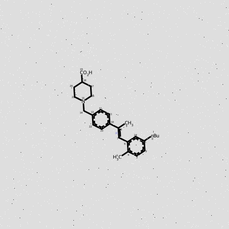 CCCCc1ccc(C)c(/C=C(\C)c2ccc(CN3CCC(C(=O)O)CC3)cc2)c1